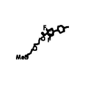 C=C(OCCCOCCCOC)c1c(F)cc(C2CCC(C)CC2)cc1F